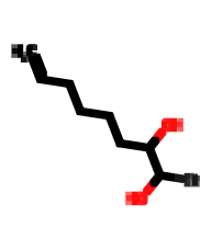 C=CCCCCC(O)C(O)CC